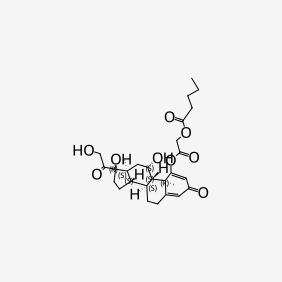 CCCCC(=O)OCC(=O)OC1=CC(=O)C=C2CC[C@@H]3[C@H]([C@@H](O)C[C@@]4(C)[C@H]3CC[C@]4(O)C(=O)CO)[C@]21C